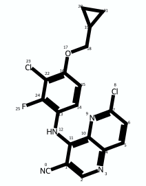 N#Cc1cnc2ccc(Cl)nc2c1Nc1ccc(OCC2CC2)c(Cl)c1F